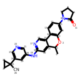 CC1Oc2cc(N3CCCC3=O)ccc2-c2cnc(Nc3cncc(C4(C#N)CC4)c3)cc21